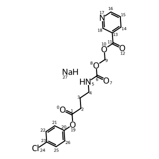 O=C(CCCNC(=O)OCOC(=O)c1cccnc1)Oc1ccc(Cl)cc1.[NaH]